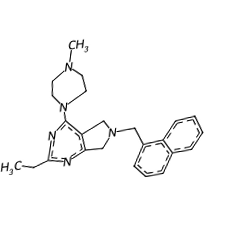 CCc1nc2c(c(N3CCN(C)CC3)n1)CN(Cc1cccc3ccccc13)C2